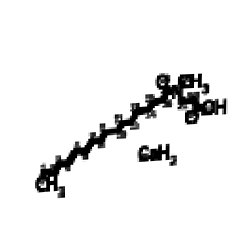 CCCCCCCCCCCCCCCCCC(=O)N(C)CCC(=O)O.[CaH2]